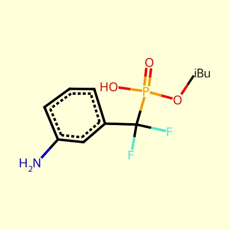 CCC(C)OP(=O)(O)C(F)(F)c1cccc(N)c1